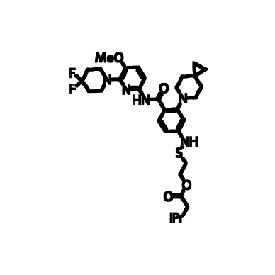 COc1ccc(NC(=O)c2ccc(NSCCOC(=O)CC(C)C)cc2N2CCC3(CC2)CC3)nc1N1CCC(F)(F)CC1